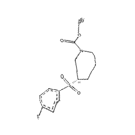 CC(C)(C)OC(=O)N1CCC[C@H](S(=O)(=O)c2ccc(F)cc2)C1